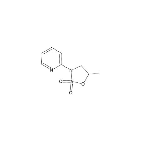 C[C@H]1CN(c2ccccn2)S(=O)(=O)O1